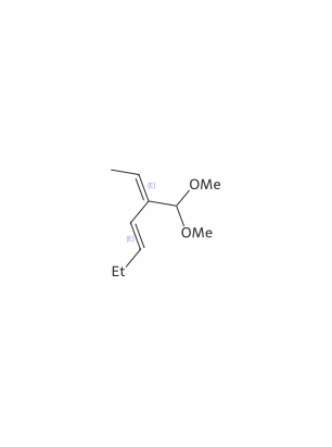 C/C=C(\C=C\CC)C(OC)OC